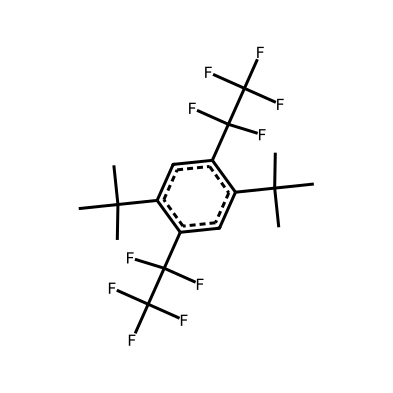 CC(C)(C)c1cc(C(F)(F)C(F)(F)F)c(C(C)(C)C)cc1C(F)(F)C(F)(F)F